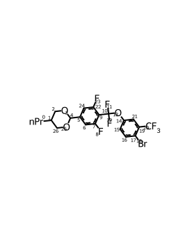 CCCC1COC(c2cc(F)c(C(F)(F)Oc3ccc(Br)c(C(F)(F)F)c3)c(F)c2)OC1